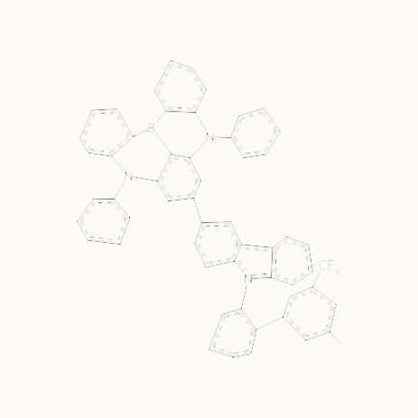 Cc1cc(-c2ccccc2-n2c3ccccc3c3cc(-c4cc5c6c(c4)N(c4ccccc4)c4ccccc4B6c4ccccc4N5c4ccccc4)ccc32)cc(C(F)(F)F)c1